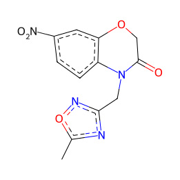 Cc1nc(CN2C(=O)COc3cc([N+](=O)[O-])ccc32)no1